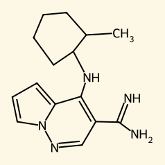 CC1CCCCC1Nc1c(C(=N)N)cnn2cccc12